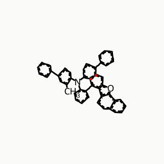 Cc1cc(-c2ccccc2)ccc1N(c1ccc(-c2ccccc2)cc1)c1ccccc1-c1cccc2oc3c4ccccc4ccc3c12